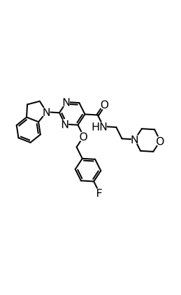 O=C(NCCN1CCOCC1)c1cnc(N2CCc3ccccc32)nc1OCc1ccc(F)cc1